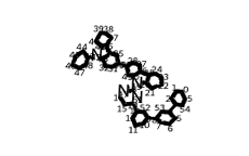 c1ccc(-c2cccc(-c3cccc(-c4ccnc(-n5c6ccccc6c6ccc(-c7ccc8c(c7)c7ccccc7n8-c7ccccc7)cc65)n4)c3)c2)cc1